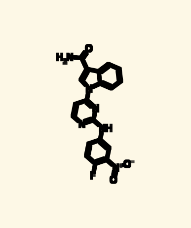 NC(=O)c1cn(-c2ccnc(Nc3ccc(F)c([N+](=O)[O-])c3)n2)c2ccccc12